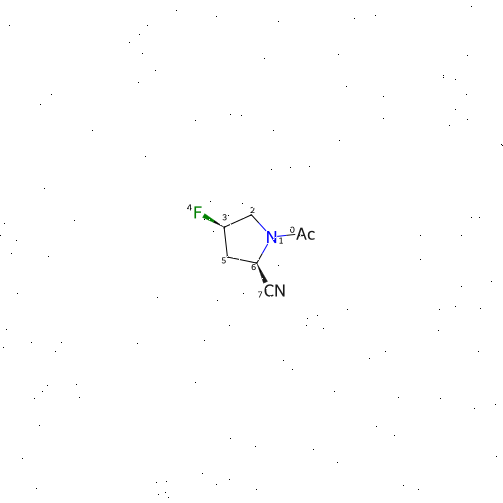 CC(=O)N1C[C@H](F)C[C@@H]1C#N